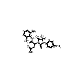 CCC1(CC)C(=O)N(C(CC(N)=O)C(=O)Nc2c(C(C)C)cccc2C(C)C)C(=O)N1c1ccc(C)cc1